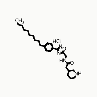 CCCCCCCCCCc1ccc(-c2noc(CNC(=O)CC3CCCNC3)n2)cc1.Cl